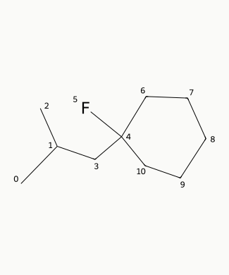 CC(C)CC1(F)CCCCC1